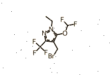 CCn1nc(C(F)(F)F)c(CBr)c1OC(F)F